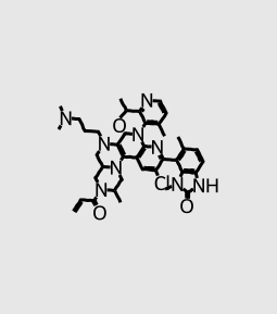 C=CC(=O)N1CC2CN(CCCN(C)C)c3c(c4cc(Cl)c(-c5c(C)ccc6[nH]c(=O)n(C)c56)nc4n(-c4c(C)ccnc4C(C)C)c3=O)N2CC1C